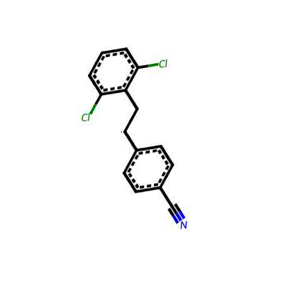 N#Cc1ccc([CH]Cc2c(Cl)cccc2Cl)cc1